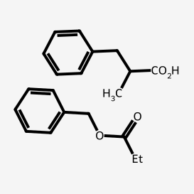 CC(Cc1ccccc1)C(=O)O.CCC(=O)OCc1ccccc1